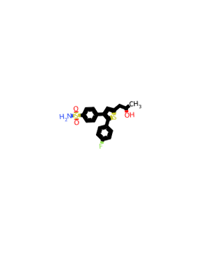 CC(O)Cc1cc(-c2ccc(S(N)(=O)=O)cc2)c(-c2ccc(F)cc2)s1